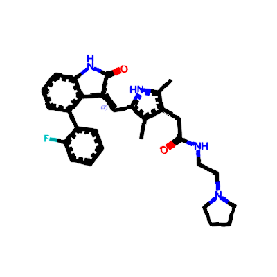 Cc1[nH]c(/C=C2\C(=O)Nc3cccc(-c4ccccc4F)c32)c(C)c1CC(=O)NCCN1CCCC1